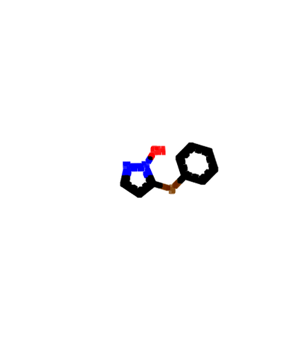 On1nccc1Sc1ccccc1